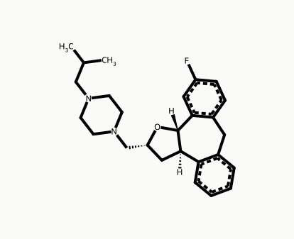 CC(C)CN1CCN(C[C@H]2C[C@@H]3c4ccccc4Cc4ccc(F)cc4[C@H]3O2)CC1